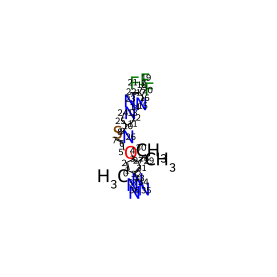 Cc1cc(OCc2csc(C3CCN(c4ncc(C(F)(F)F)cn4)CC3)n2)c(C(C)C)cc1-n1cnnn1